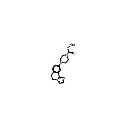 CC(C)(C)OC(=O)N1CCN(c2ccc3c(c2)-c2nccn2CC3)CC1